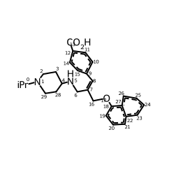 CC(C)N1CCC(NCC(=Cc2ccc(C(=O)O)cc2)COc2cccc3ccccc23)CC1